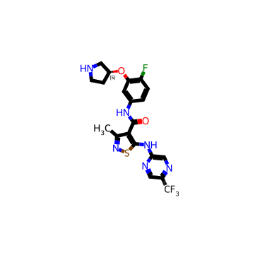 Cc1nsc(Nc2cnc(C(F)(F)F)cn2)c1C(=O)Nc1ccc(F)c(O[C@H]2CCNC2)c1